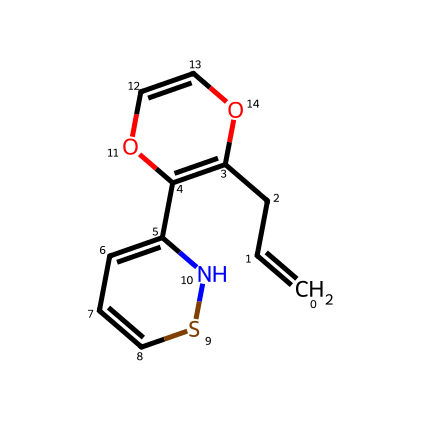 C=CCC1=C(C2=CC=CSN2)OC=CO1